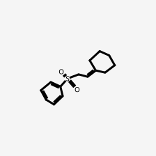 O=S(=O)(CC=C1CCCCC1)c1ccccc1